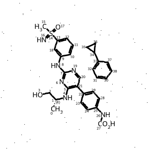 C[C@H](CO)Nc1nc(Nc2cccc(S(C)(=N)=O)c2)ncc1-c1ccc(NC(=O)O)cc1.c1ccc(C2CC2)cc1